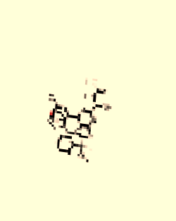 COC(C)(c1ccccc1F)c1nc2nc(C(=N)NC(=O)O)nc(-c3cncc(Cl)c3)c2n1CC1CCCCC1